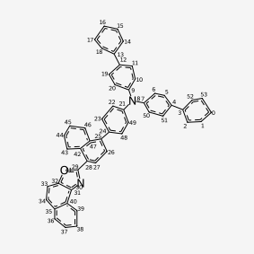 c1ccc(-c2ccc(N(c3ccc(-c4ccccc4)cc3)c3ccc(-c4ccc(-c5nc6c(ccc7ccccc76)o5)c5ccccc45)cc3)cc2)cc1